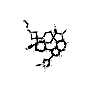 CCSN1CC(CC#N)(N2CCC3(CC2)C(=O)N(C)c2cnc4[nH]c(-c5cnn(C)c5)c(-c5ccccc5)c4c23)C1